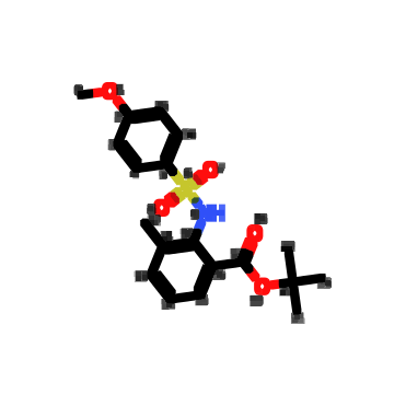 COc1ccc(S(=O)(=O)Nc2c(C)cccc2C(=O)OC(C)(C)C)cc1